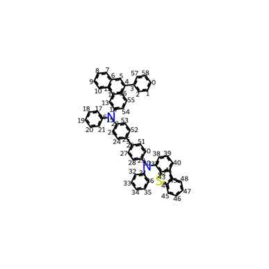 c1ccc(-c2cc3ccccc3c3cc(N(c4ccccc4)c4ccc(-c5ccc(N(c6ccccc6)c6cccc7c6sc6ccccc67)cc5)cc4)ccc23)cc1